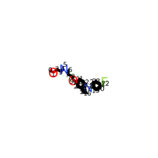 COCCN(C)CCCOc1ccc2c(ccn2-c2ccc(F)cc2)c1